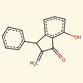 C=C1C(=O)c2c(O)cccc2C1c1ccccc1